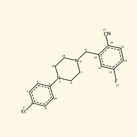 CCc1ccc(N2CCN(Cc3cc(F)ccc3C#N)CC2)cc1